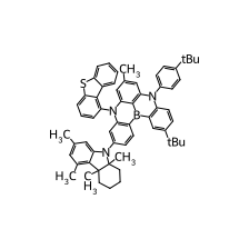 Cc1cc2c3c(c1)N(c1cccc4sc5ccccc5c14)c1cc(N4c5cc(C)cc(C)c5C5(C)CCCCC45C)ccc1B3c1cc(C(C)(C)C)ccc1N2c1ccc(C(C)(C)C)cc1